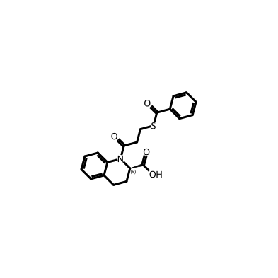 O=C(SCCC(=O)N1c2ccccc2CC[C@@H]1C(=O)O)c1ccccc1